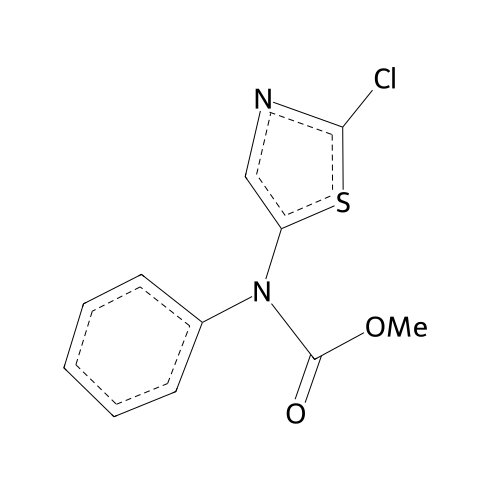 COC(=O)N(c1ccccc1)c1cnc(Cl)s1